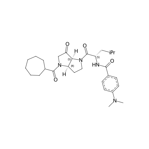 CC(C)C[C@H](NC(=O)c1ccc(N(C)C)cc1)C(=O)N1CC[C@@H]2[C@H]1C(=O)CN2C(=O)C1CCCCCC1